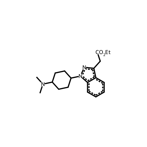 CCOC(=O)Cc1nn(C2CCC(N(C)C)CC2)c2ccccc12